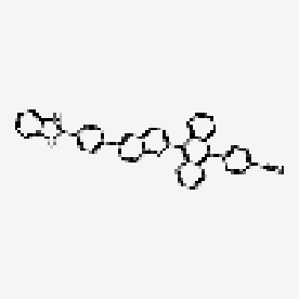 N#Cc1ccc(-c2c3ccccc3c(-c3ccc4cc(-c5ccc(-c6nc7ccccc7o6)cc5)ccc4c3)c3ccccc23)cc1